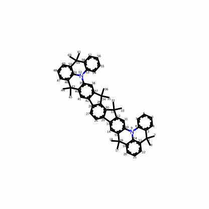 CC1(C)c2ccccc2N2c3cc4c(cc3C(C)(C)c3cccc1c32)-c1ccc2c(c1C4(C)C)C(C)(C)c1cc3c(cc1-2)C(C)(C)c1cccc2c1N3c1ccccc1C2(C)C